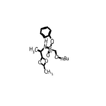 CCCCOC[P@@](=O)(NC(C)C1OC(C)O1)Oc1ccccc1